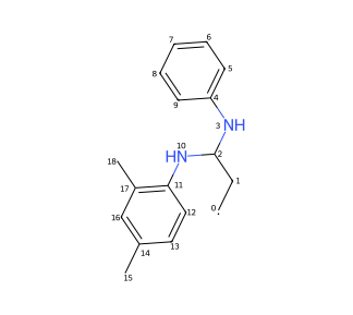 [CH2]CC(Nc1ccccc1)Nc1ccc(C)cc1C